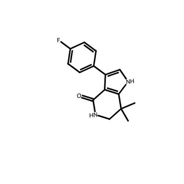 CC1(C)CNC(=O)c2c(-c3ccc(F)cc3)c[nH]c21